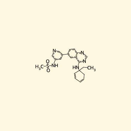 CCC1(Nc2ncnc3ccc(-c4cncc(NS(C)(=O)=O)c4)cc23)C=CC=CC1